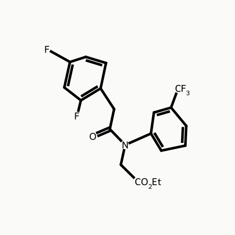 CCOC(=O)CN(C(=O)Cc1ccc(F)cc1F)c1cccc(C(F)(F)F)c1